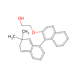 CC1(C)C=c2c(-c3c(OCCO)ccc4ccccc34)cccc2=CC1